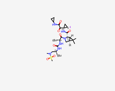 CN(C[C@@H](NC(=O)N[C@H](C(=O)N1C[C@H]2[C@@H]([C@H]1C(=O)N[C@]1(C(=O)C(=O)NC3CC3)C[C@@H]1I)C2(C)C)C(C)(C)C)C(C)(C)C)S(C)(=O)=O